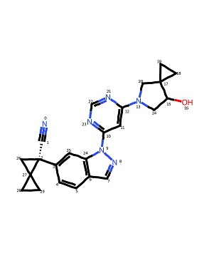 N#C[C@@]1(c2ccc3cnn(-c4cc(N5CC(O)C6(CC6)C5)ncn4)c3c2)CC12CC2